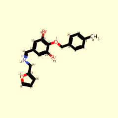 Cc1ccc(COc2c(Br)cc(/C=N\Cc3ccco3)cc2Br)cc1